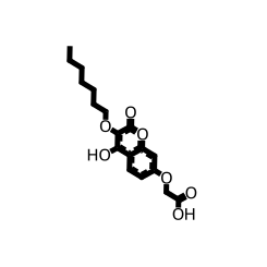 CCCCCCCOc1c(O)c2ccc(OCC(=O)O)cc2oc1=O